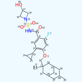 CCC1(COc2cc(F)c(C(=O)NS(=O)(=O)N3CC(O)C3)cc2C2CC2)CC2CC(C)CC(C2)C1